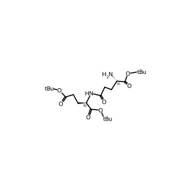 CC(C)(C)OC(=O)CC[C@@H](NC(=O)CC[C@H](N)C(=O)OC(C)(C)C)C(=O)OC(C)(C)C